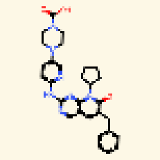 O=C(O)N1CCN(c2ccc(Nc3ncc4cc(Cc5ccccc5)c(=O)n(C5CCCC5)c4n3)nc2)CC1